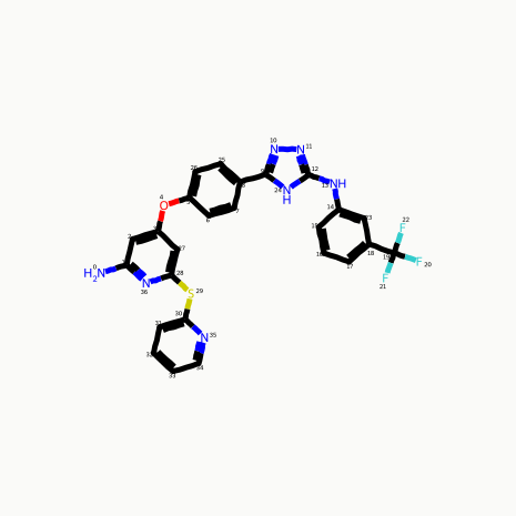 Nc1cc(Oc2ccc(-c3nnc(Nc4cccc(C(F)(F)F)c4)[nH]3)cc2)cc(Sc2ccccn2)n1